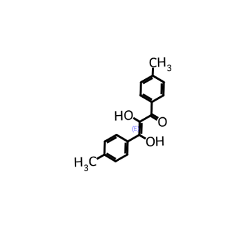 Cc1ccc(C(=O)/C(O)=C(\O)c2ccc(C)cc2)cc1